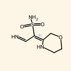 N=C/C(=C1/COCCN1)S(N)(=O)=O